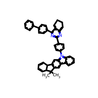 CC1(C)c2cc3c4ccccc4n(-c4ccc(-c5nc(-c6ccc(-c7ccccc7)cc6)c6c(n5)=CCCC=6)cc4)c3cc2C2C=CC=CC21